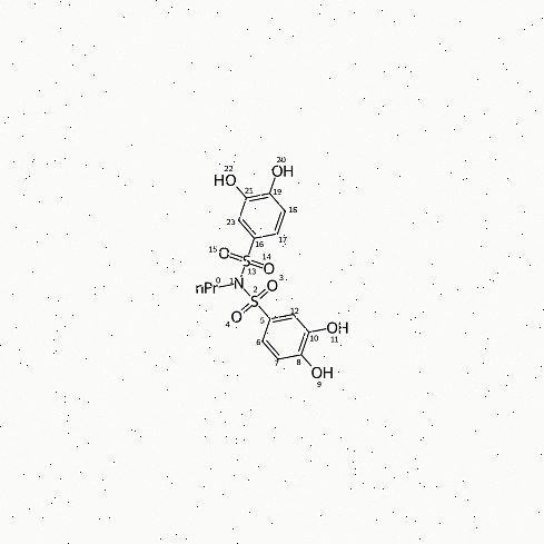 CCCN(S(=O)(=O)c1ccc(O)c(O)c1)S(=O)(=O)c1ccc(O)c(O)c1